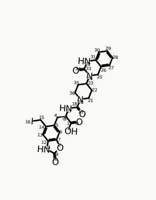 O=C(O)[C@@H](Cc1cc2oc(=O)[nH]c2cc1CI)NC(=O)N1CCC(N2Cc3ccccc3NC2=O)CC1